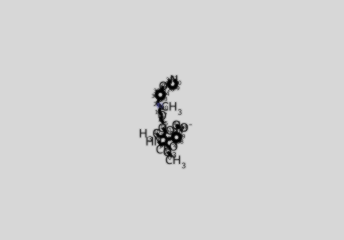 CCOC(=O)C1=C(C)NC(C)=C(C(=O)OCCOC/C(C)=C/c2ccc(Oc3cccnc3)cc2)C1c1cccc([N+](=O)[O-])c1